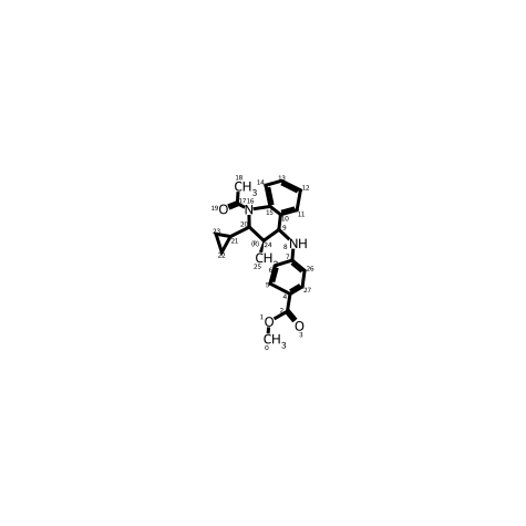 COC(=O)c1ccc(NC2c3ccccc3N(C(C)=O)C(C3CC3)[C@@H]2C)cc1